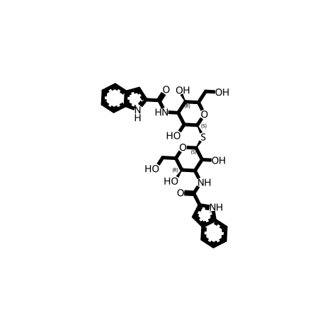 O=C(NC1C(O)[C@H](S[C@@H]2OC(CO)[C@H](O)C(NC(=O)c3cc4ccccc4[nH]3)C2O)OC(CO)[C@@H]1O)c1cc2ccccc2[nH]1